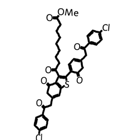 COC(=O)CCCCCCCC(=O)c1c(C2=CC=C(CC(=O)c3ccc(Cl)cc3)CC2=O)sc2c1C(=O)CC(CC(=O)c1ccc(Cl)cc1)=C2